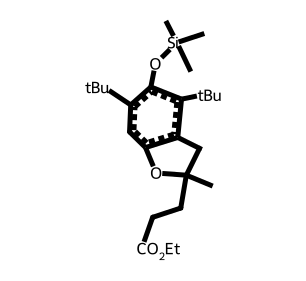 CCOC(=O)CCC1(C)Cc2c(cc(C(C)(C)C)c(O[Si](C)(C)C)c2C(C)(C)C)O1